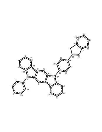 c1ccc(-n2c3cc4c5ncccc5n(-c5ccc(C6=Nc7nccnc7C6)cc5)c4cc3c3ncccc32)cc1